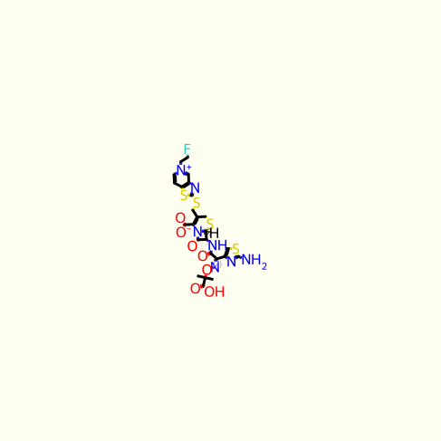 CC(C)(O/N=C(\C(=O)NC1C(=O)N2C(C(=O)[O-])=C(CSc3nc4c[n+](CCF)ccc4s3)CS[C@@H]12)c1csc(N)n1)C(=O)O